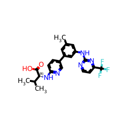 Cc1cc(Nc2nccc(C(F)(F)F)n2)cc(-c2ccc(N[C@@H](C(=O)O)C(C)C)nc2)c1